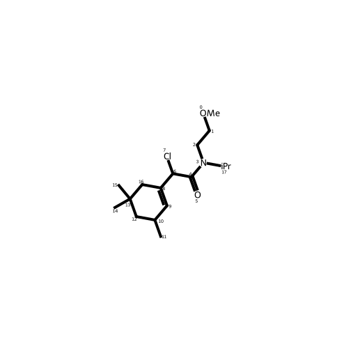 COCCN(C(=O)C(Cl)C1=CC(C)CC(C)(C)C1)C(C)C